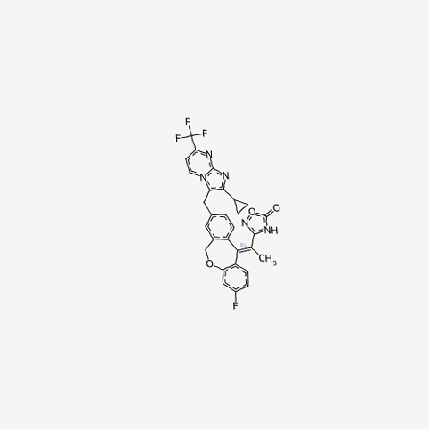 C/C(=C1/c2ccc(Cc3c(C4CC4)nc4nc(C(F)(F)F)ccn34)cc2COc2cc(F)ccc21)c1noc(=O)[nH]1